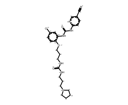 N#Cc1ccc(NC(=O)Nc2cc(Cl)ccc2OCCCNC(=O)NCCCN2CCCC2)nc1